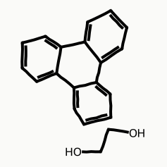 OCCO.c1ccc2c(c1)c1ccccc1c1ccccc21